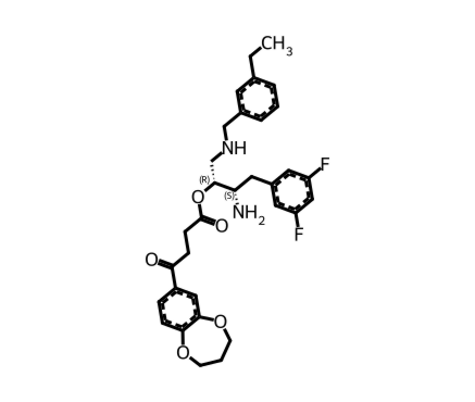 CCc1cccc(CNC[C@@H](OC(=O)CCC(=O)c2ccc3c(c2)OCCCO3)[C@@H](N)Cc2cc(F)cc(F)c2)c1